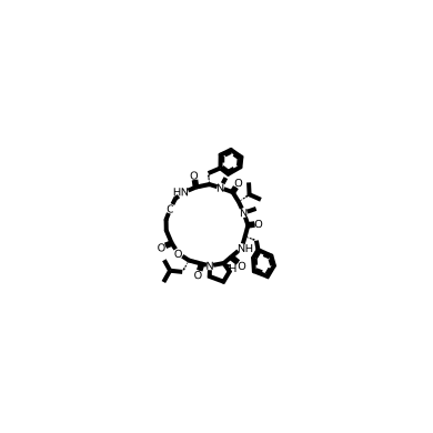 CC(C)C[C@@H]1OC(=O)CCCCNC(=O)[C@H](Cc2ccccc2)N(C)C(=O)[C@H](C(C)C)N(C)C(=O)[C@H](Cc2ccccc2)NC(=O)[C@@H]2CCCN2C1=O